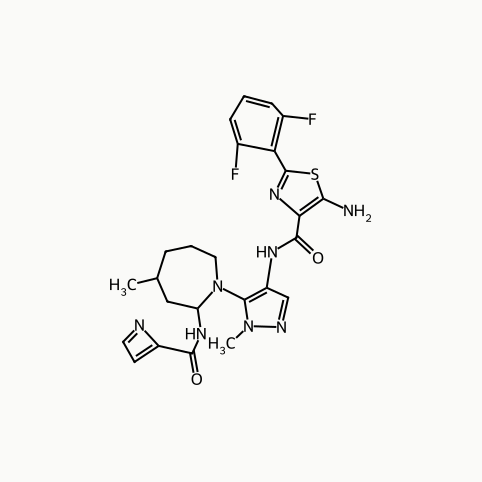 CC1CCCN(c2c(NC(=O)c3nc(-c4c(F)cccc4F)sc3N)cnn2C)C(NC(=O)C2=CC=N2)C1